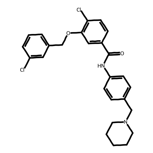 O=C(Nc1ccc(CN2CCCCC2)cc1)c1ccc(Cl)c(OCc2cccc(Cl)c2)c1